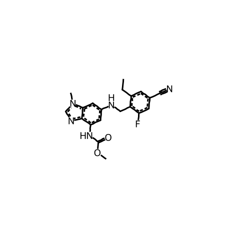 CCc1cc(C#N)cc(F)c1CNc1cc(NC(=O)OC)c2ncn(C)c2c1